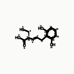 O=C(O)[C@H](CS)N=CCc1c(O)cccc1O